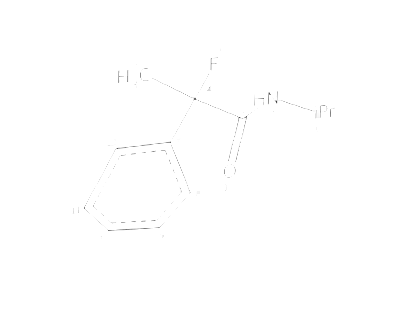 CC(C)NC(=O)C(C)(F)c1cc[c]cc1